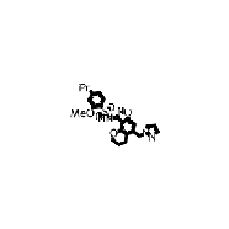 COc1cc(C(C)C)ccc1S(=O)(=O)Nc1noc2cc(Cn3cccn3)c3c(c12)OCCC3